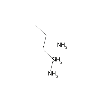 CCC[SiH2]N.N